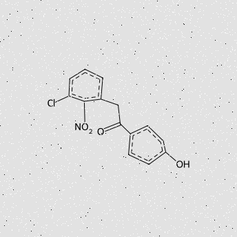 O=C(Cc1cccc(Cl)c1[N+](=O)[O-])c1ccc(O)cc1